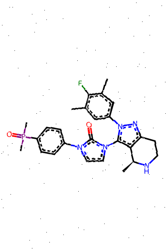 Cc1cc(-n2nc3c(c2-n2ccn(-c4ccc(P(C)(C)=O)cc4)c2=O)[C@H](C)NCC3)cc(C)c1F